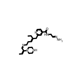 C/C=C(\C=N/CC/C=C(\CC)Cc1cc(C(=O)NC/C=N/N)ccn1)N1CCNCC1